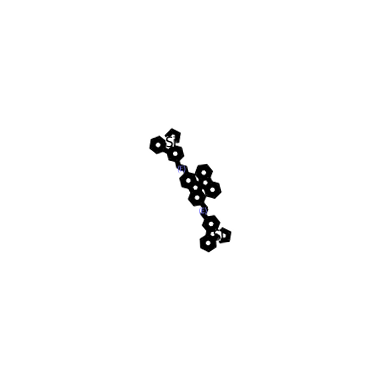 C(=C\c1ccc2c(c1)C1(c3ccccc3-c3ccccc31)c1cc(/C=C/c3ccc4c(c3)-c3ccccc3[Si]43CCCC3)ccc1-2)/c1ccc2c(c1)-c1ccccc1[Si]21CCCC1